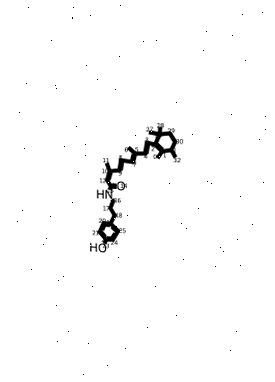 CC1=C(/C=C/C(C)=C/C=C/C(C)=C\C(=O)NCCCc2ccc(O)cc2)C(C)(C)CCC1C